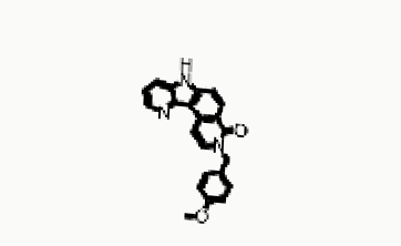 COc1ccc(Cn2ccc3c(ccc4[nH]c5cccnc5c43)c2=O)cc1